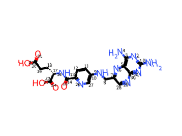 Nc1nc(N)c2nc(CNc3ccc(C(=O)N[C@@H](CCC(=O)O)C(=O)O)nc3)cnc2n1